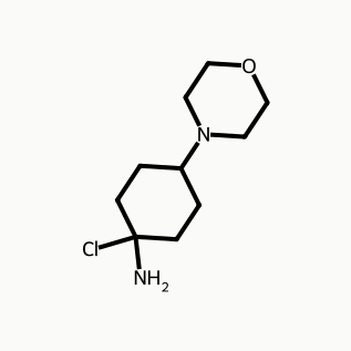 NC1(Cl)CCC(N2CCOCC2)CC1